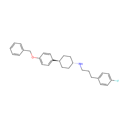 Fc1ccc(CCCN[C@H]2CC[C@H](c3ccc(OCc4ccccc4)cc3)CC2)cc1